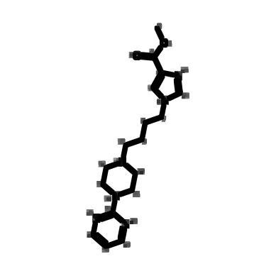 COC(=O)c1cn(CCCCN2CCN(c3ncccn3)CC2)cn1